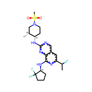 CC(F)c1cc2cnc(N[C@H]3CCN(S(C)(=O)=O)C[C@H]3C)nc2c(N[C@H]2CCCC2(F)F)n1